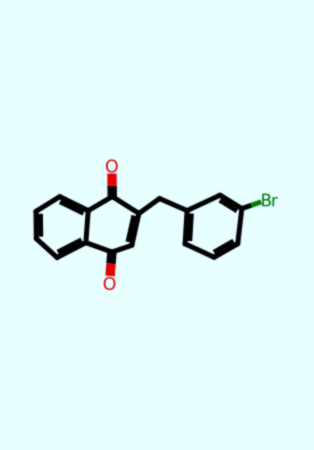 O=C1C=C(Cc2cccc(Br)c2)C(=O)c2ccccc21